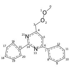 COOCc1cc(-c2ccccc2)nc(-c2ccccc2)n1